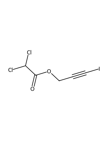 O=C(OCC#CI)C(Cl)Cl